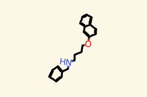 c1ccc(CNCCCCOc2ccc3ccccc3c2)cc1